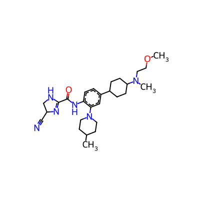 COCCN(C)C1CCC(c2ccc(NC(=O)C3=NC(C#N)CN3)c(N3CCC(C)CC3)c2)CC1